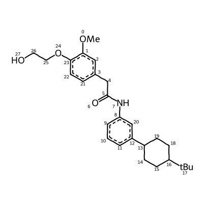 COc1cc(CC(=O)Nc2cccc(C3CCC(C(C)(C)C)CC3)c2)ccc1OCCO